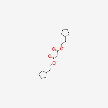 O=C(CC(=O)OCCC1CCCC1)OCCC1CCCC1